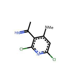 CNc1cc(Cl)nc(Cl)c1C(C)=N